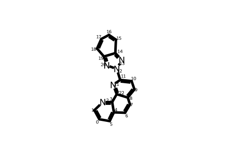 c1cnc2c(c1)ccc1ccc(-n3nc4ccccc4n3)nc12